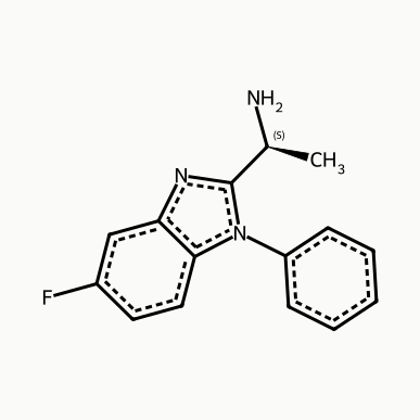 C[C@H](N)c1nc2cc(F)ccc2n1-c1ccccc1